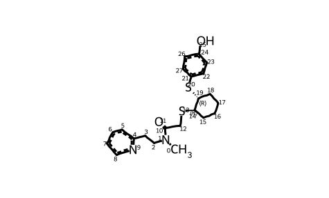 CN(CCc1ccccn1)C(=O)CS[C@@H]1CCCC[C@H]1Sc1ccc(O)cc1